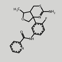 CC1OCC2(c3cc(NC(=O)c4ccccn4)ccc3F)N=C(N)SCC12